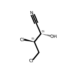 N#C[C@H](O)[C@H](Cl)CCl